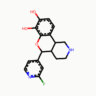 Oc1ccc2c(c1O)OC(c1ccnc(F)c1)C1CCNCC21